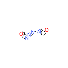 O=C1CCCc2c1ccn2CCN1CCN(c2nccc3occc23)CC1